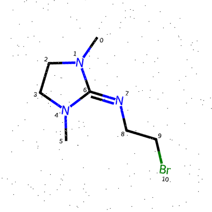 CN1CCN(C)C1=NCCBr